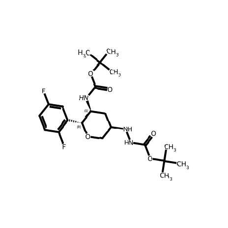 CC(C)(C)OC(=O)NNC1CO[C@H](c2cc(F)ccc2F)[C@@H](NC(=O)OC(C)(C)C)C1